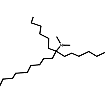 CCCCCCCCCC(CCCCCC)(CCCCCC)N(C)C